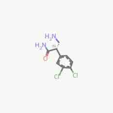 NC[C@@H](C(N)=O)c1ccc(Cl)c(Cl)c1